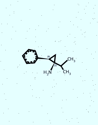 CC(C)[C@@]1(N)C[C@@H]1c1ccccc1